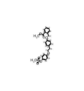 COC(=O)c1ccccc1COc1ccc(CCOc2ccc(OS(C)(=O)=O)cc2)cc1